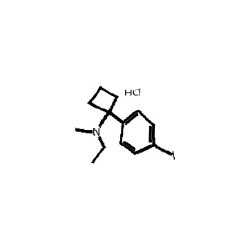 CCN(C)C1(c2ccc(I)cc2)CCC1.Cl